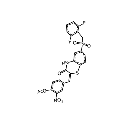 CC(=O)Oc1ccc(/C=C2/Sc3ccc(S(=O)(=O)Cc4c(F)cccc4F)cc3NC2=O)cc1[N+](=O)[O-]